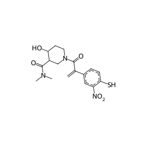 C=C(C(=O)N1CCC(O)C(C(=O)N(C)C)C1)c1ccc(S)c([N+](=O)[O-])c1